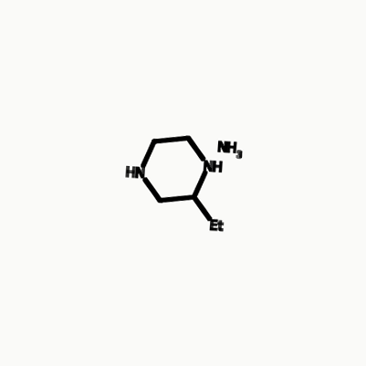 CCC1CNCCN1.N